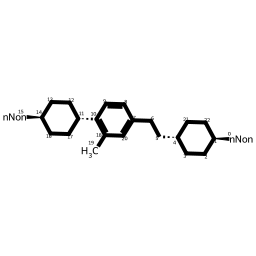 CCCCCCCCC[C@H]1CC[C@H](CCc2ccc([C@H]3CC[C@H](CCCCCCCCC)CC3)c(C)c2)CC1